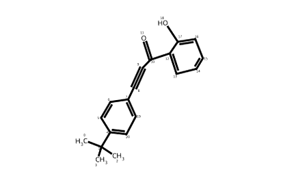 CC(C)(C)c1ccc(C#CC(=O)c2ccccc2O)cc1